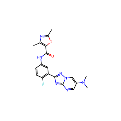 Cc1nc(C)c(C(=O)Nc2ccc(F)c(-c3nc4ncc(N(C)C)cn4n3)c2)o1